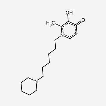 Cc1c(O)c(=O)ccn1CCCCCCN1CCCCC1